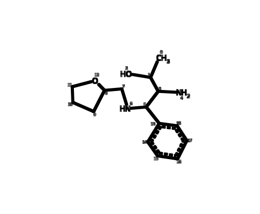 CC(O)C(N)C(NCC1CCCO1)c1ccccc1